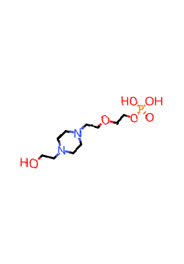 O=P(O)(O)OCCOCCN1CCN(CCO)CC1